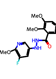 COc1cccc(C(=O)NNc2cnc(OC)c(F)c2)c1OC